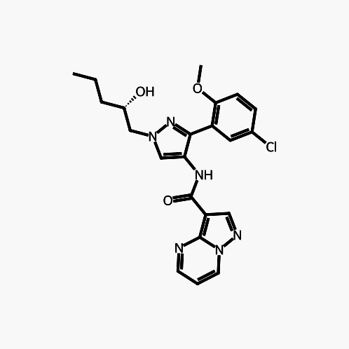 CCC[C@H](O)Cn1cc(NC(=O)c2cnn3cccnc23)c(-c2cc(Cl)ccc2OC)n1